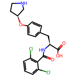 O=C(N[C@@H](Cc1ccc(O[C@H]2CCNC2)cc1)C(=O)O)c1c(Cl)cccc1Cl